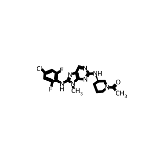 CC(=O)N1CCC[C@@H](Nc2ncc3nc(Nc4c(F)cc(Cl)cc4F)n(C)c3n2)C1